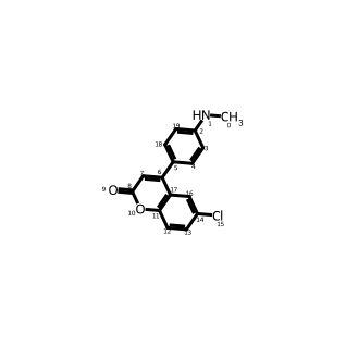 CNc1ccc(-c2cc(=O)oc3ccc(Cl)cc23)cc1